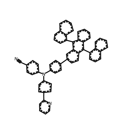 N#Cc1ccc(N(c2ccc(-c3ccc4c(-c5cccc6ccccc56)c5ccccc5c(-c5cccc6ccccc56)c4c3)cc2)c2ccc(-c3ccccn3)cc2)cc1